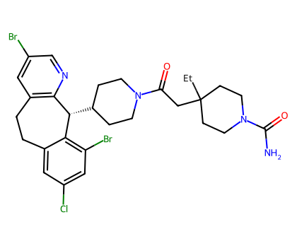 CCC1(CC(=O)N2CCC([C@H]3c4ncc(Br)cc4CCc4cc(Cl)cc(Br)c43)CC2)CCN(C(N)=O)CC1